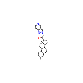 CC1CCC2C(CCC3C2CCC2(C)C(C(=O)Cn4cc5cnccc5n4)CCC32)C1